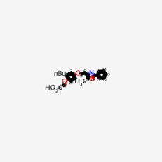 CCCCc1cc(OCCc2nc(-c3ccccc3)oc2C)ccc1OCC(=O)O